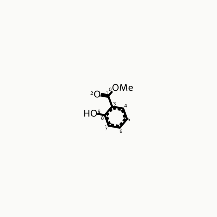 COC(=O)c1ccc[c]c1O